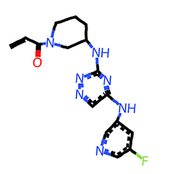 C=CC(=O)N1CCCC(Nc2nncc(Nc3cncc(F)c3)n2)C1